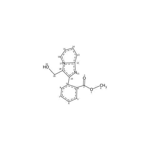 COC(=O)c1ccccc1-c1nc2ccccn2c1CO